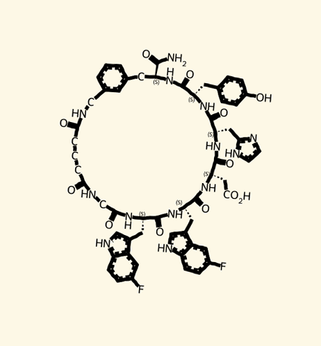 NC(=O)[C@@H]1Cc2cccc(c2)CNC(=O)CCCC(=O)NCC(=O)N[C@@H](Cc2c[nH]c3ccc(F)cc23)C(=O)N[C@@H](Cc2c[nH]c3ccc(F)cc23)C(=O)N[C@@H](CC(=O)O)C(=O)N[C@@H](Cc2ncc[nH]2)C(=O)N[C@@H](Cc2ccc(O)cc2)C(=O)N1